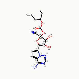 CCCC(CC)OC(=O)O[C@@]1(C#N)O[C@@H](c2ccc3c(N)ncnn23)[C@H](O)[C@@H]1O